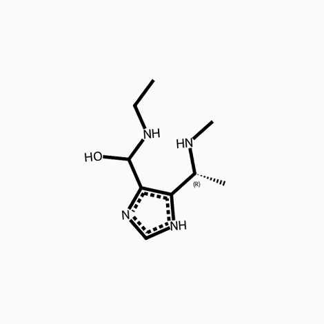 CCNC(O)c1nc[nH]c1[C@@H](C)NC